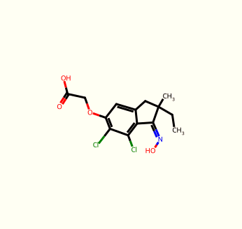 CCC1(C)Cc2cc(OCC(=O)O)c(Cl)c(Cl)c2C1=NO